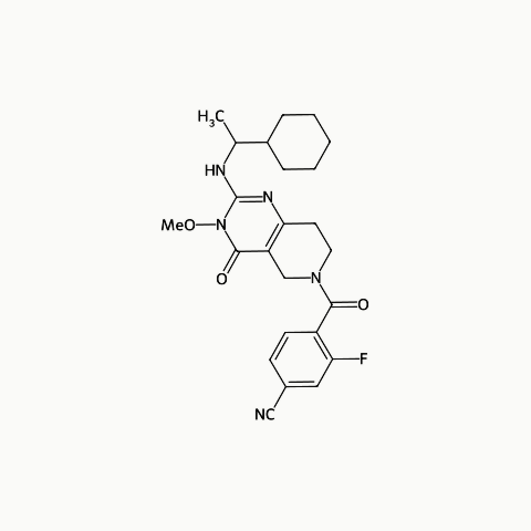 COn1c(NC(C)C2CCCCC2)nc2c(c1=O)CN(C(=O)c1ccc(C#N)cc1F)CC2